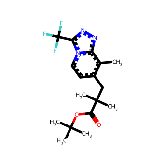 Cc1c(CC(C)(C)C(=O)OC(C)(C)C)ccn2c(C(F)(F)F)nnc12